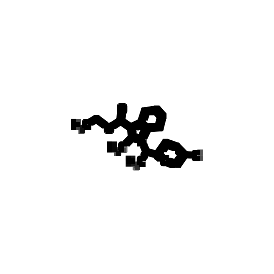 CCOC(=O)c1c(C)n(C(C)c2ccc(Cl)cc2)c2ccccc12